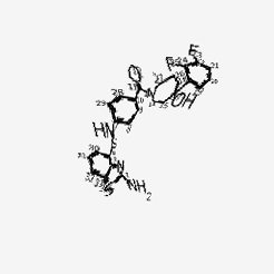 Nc1nc2c(SNc3ccc(C(=O)N4CCC(O)(c5cccc(F)c5F)CC4)cc3)cccc2s1